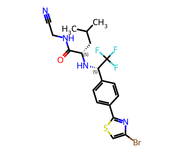 CC(C)C[C@H](N[C@@H](c1ccc(-c2nc(Br)cs2)cc1)C(F)(F)F)C(=O)NCC#N